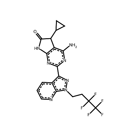 Nc1nc(-c2nn(CCC(F)(F)C(F)(F)F)c3ncccc23)nc2c1C(C1CC1)C(=O)N2